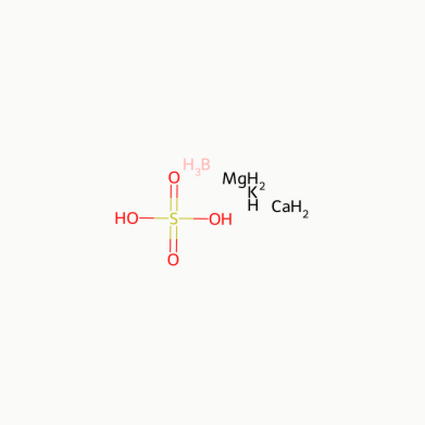 B.O=S(=O)(O)O.[CaH2].[KH].[MgH2]